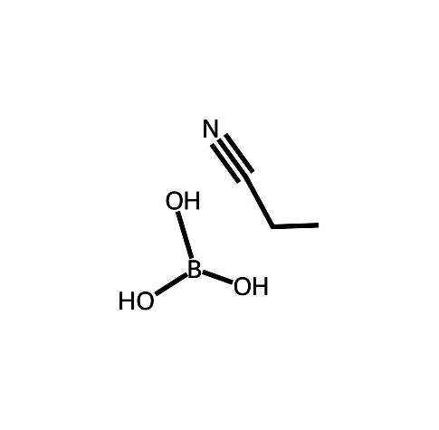 CCC#N.OB(O)O